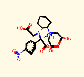 C[C@](C(=O)O)(c1ccc([N+](=O)[O-])cc1)N(CC(=O)O)[C@@H]1CCCC[C@H]1N(CC(=O)O)CC(=O)O